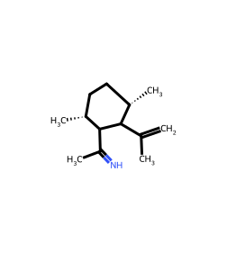 C=C(C)C1C(C(C)=N)[C@H](C)CC[C@@H]1C